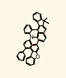 CC1(C)c2ccccc2-c2c(-c3ccccc3N(c3ccc(-c4ccccc4)cc3)c3ccccc3-c3ccc4c(c3)oc3ccccc34)cccc21